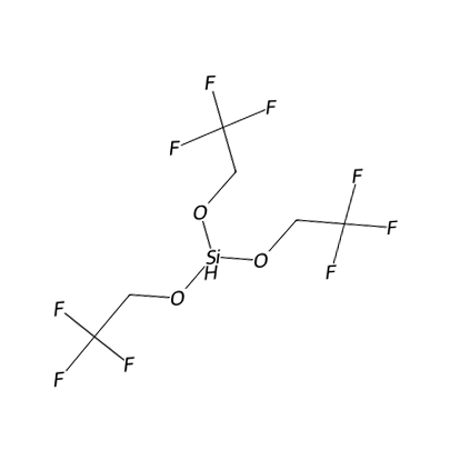 FC(F)(F)CO[SiH](OCC(F)(F)F)OCC(F)(F)F